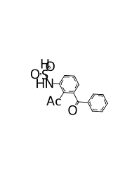 CC(=O)c1c(N[SH](=O)=O)cccc1C(=O)c1ccccc1